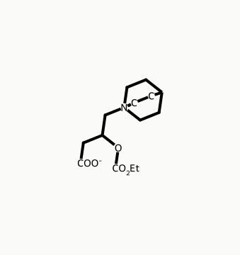 CCOC(=O)OC(CC(=O)[O-])C[N+]12CCC(CC1)CC2